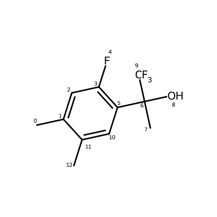 Cc1cc(F)c(C(C)(O)C(F)(F)F)cc1C